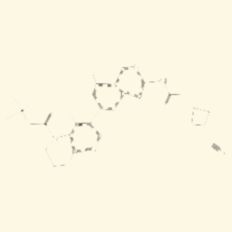 Cc1c(-c2cc(Cl)c3cnc(NC(=O)O[C@H]4C[C@@H](C#N)C4)cc3c2)cnc2c1N(C(=O)OC(C)(C)C)CCO2